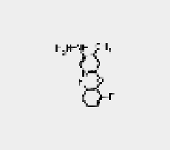 CC1CC(OC2=C(F)CCC=C2F)=NC=C1NN